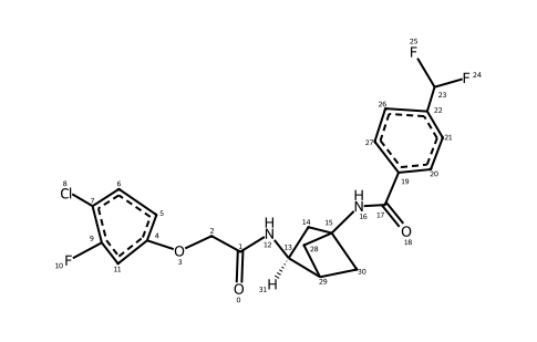 O=C(COc1ccc(Cl)c(F)c1)N[C@H]1CC2(NC(=O)c3ccc(C(F)F)cc3)CC1C2